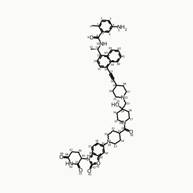 Cc1ccc(N)cc1C(=O)N[C@H](C)c1ccc(C#CC2CCN(CC3(O)CCN(C(=O)C4CCN(c5ccc6c(c5)oc(=O)n6C5CCC(=O)NC5=O)CC4)CC3)CC2)c2ccccc12